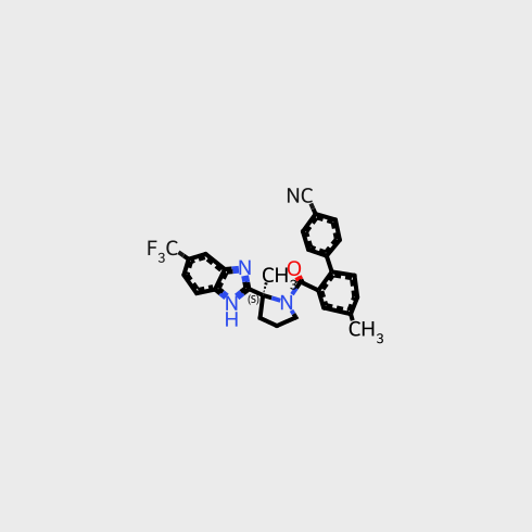 Cc1ccc(-c2ccc(C#N)cc2)c(C(=O)N2CCC[C@@]2(C)c2nc3cc(C(F)(F)F)ccc3[nH]2)c1